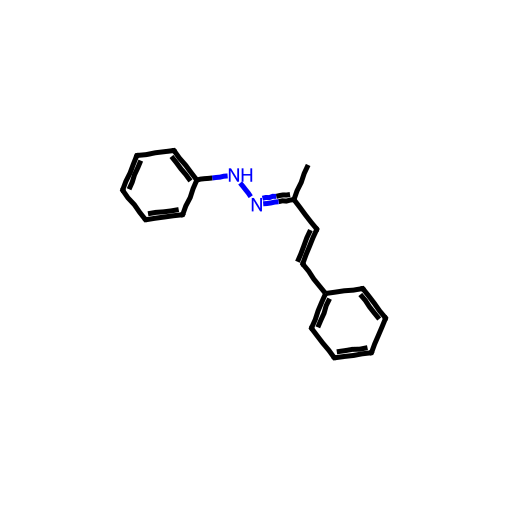 CC(C=Cc1ccccc1)=NNc1ccccc1